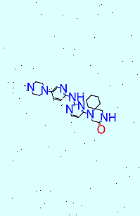 CN1CCN(c2ccc(Nc3nccc(N4CC(=O)NCC45CCCCC5)n3)nc2)CC1